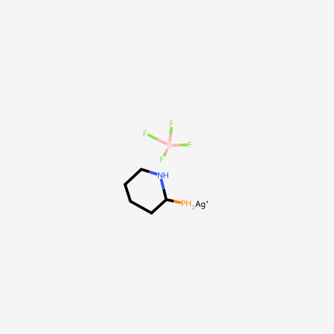 F[B-](F)(F)F.PC1CCCCN1.[Ag+]